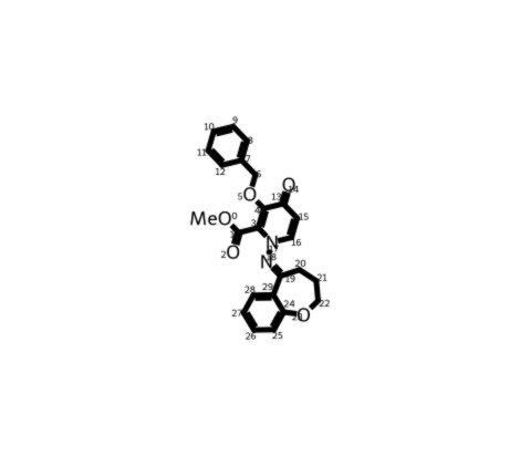 COC(=O)c1c(OCc2ccccc2)c(=O)ccn1N=C1CCCOc2ccccc21